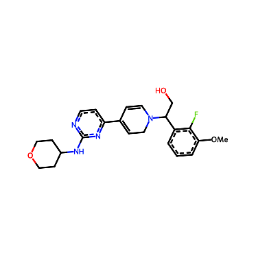 COc1cccc(C(CO)N2C=CC(c3ccnc(NC4CCOCC4)n3)=CC2)c1F